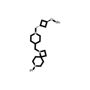 CC(C)N1CCC2(CC1)CCN2CC1CCN(C[C@H]2C[C@H](OC(C)(C)C)C2)CC1